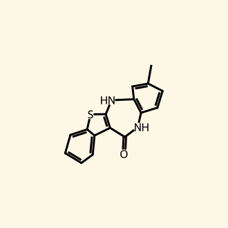 Cc1ccc2c(c1)Nc1sc3ccccc3c1C(=O)N2